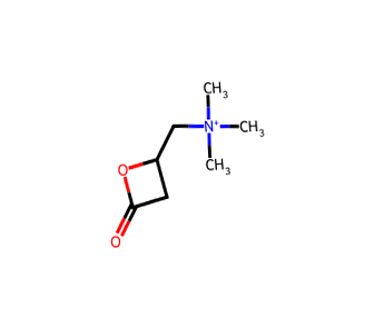 C[N+](C)(C)CC1CC(=O)O1